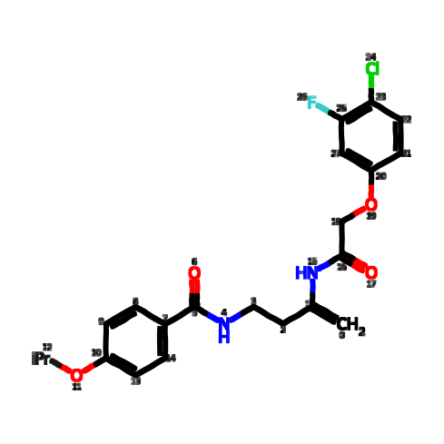 C=C(CCNC(=O)c1ccc(OC(C)C)cc1)NC(=O)COc1ccc(Cl)c(F)c1